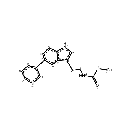 CC(C)(C)OC(=O)NCCc1c[nH]c2ccc(-c3cccnc3)cc12